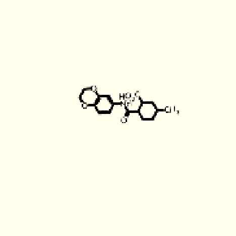 CC1CCC(C(=O)Nc2ccc3c(c2)OCCO3)C(C(=O)O)C1